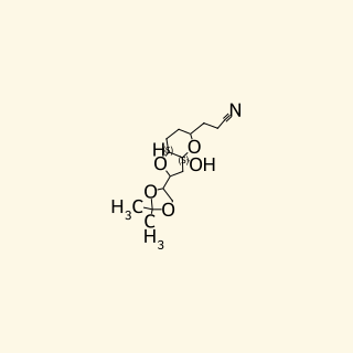 CC1(C)OCC(C2C[C@]3(O)OC(CCC#N)CC[C@@H]3O2)O1